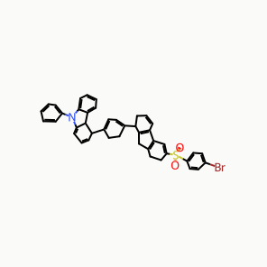 O=S(=O)(C1=CC2=C(CC1)CC1=C2C=CCC1C1=CC=C(C2C=CC=C3C2c2ccccc2N3c2ccccc2)CC1)c1ccc(Br)cc1